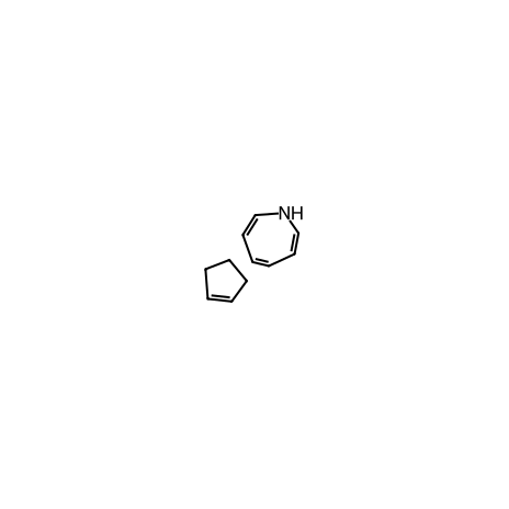 C1=CC=CNC=C1.C1=CCCC1